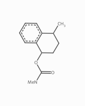 CNC(=O)OC1CCC(C)c2ccccc21